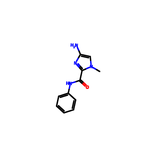 Cn1cc(N)nc1C(=O)Nc1ccccc1